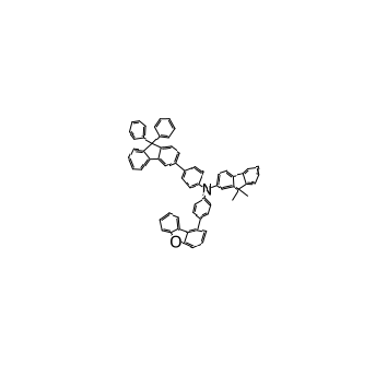 CC1(C)c2ccccc2-c2ccc(N(c3ccc(-c4ccc5c(c4)-c4ccccc4C5(c4ccccc4)c4ccccc4)cc3)c3ccc(-c4cccc5oc6ccccc6c45)cc3)cc21